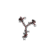 Cc1sc2c(c1C)C(c1ccc(Cl)cc1)=N[C@@H](CC(=O)NCCOCCOCCOCC(C)(COCCOCCOCCNC(=O)C[C@@H]1N=C(c3ccc(Cl)cc3)c3c(sc(C)c3C)-n3c(C)nnc31)COCCOCC(=O)NCCNc1cccc3c1C(=O)N(C1CCC(=O)NC1=O)C3=O)c1nnc(C)n1-2